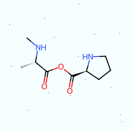 CN[C@@H](C)C(=O)OC(=O)[C@@H]1CCCN1